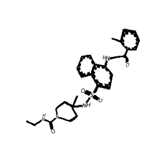 CCNC(=O)N1CCC(C)(NS(=O)(=O)c2ccc(NC(=O)c3ccccc3C)c3ccccc23)CC1